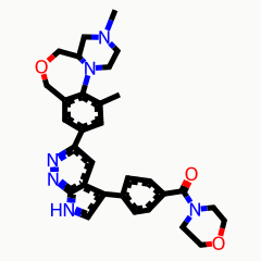 Cc1cc(-c2cc3c(-c4ccc(C(=O)N5CCOCC5)cc4)c[nH]c3nn2)cc2c1N1CCN(C)CC1COC2